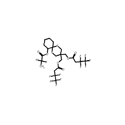 CC(F)(F)C(=O)OC1CCCCC12SCC(COC(=O)CC(F)(F)C(F)(F)F)(COC(=O)CC(F)(F)C(F)(F)F)CS2